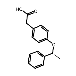 C[C@@H](Oc1ccc(CC(=O)O)cc1)c1ccccc1